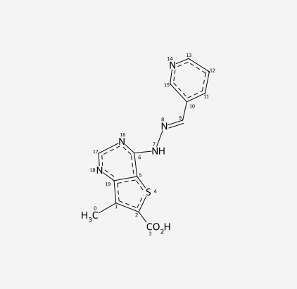 Cc1c(C(=O)O)sc2c(NN=Cc3cccnc3)ncnc12